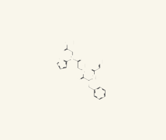 C=CC(=O)N[C@@H](Cc1ccccc1)C(=O)NCC(=O)N(CC(=O)O)c1ccco1